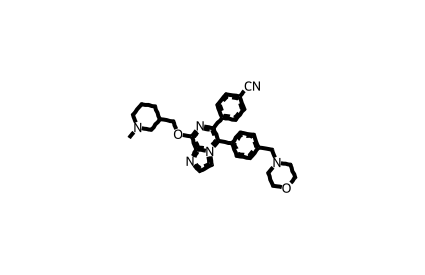 CN1CCCC(COc2nc(-c3ccc(C#N)cc3)c(-c3ccc(CN4CCOCC4)cc3)n3ccnc23)C1